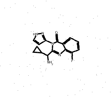 NC(c1nc2c(F)cccc2c(=O)n1-c1cc[nH]n1)C1CC1